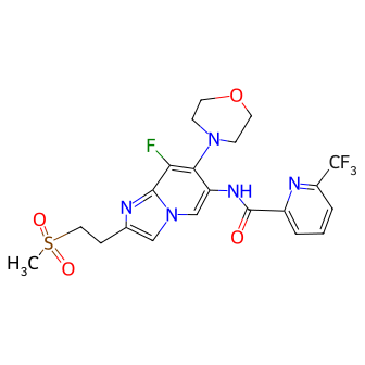 CS(=O)(=O)CCc1cn2cc(NC(=O)c3cccc(C(F)(F)F)n3)c(N3CCOCC3)c(F)c2n1